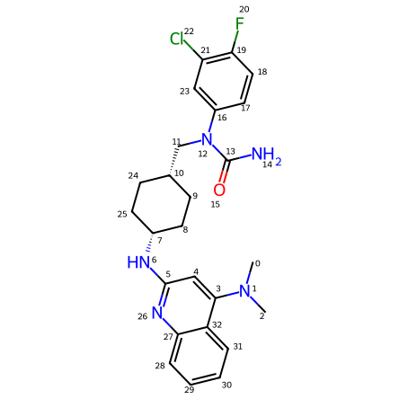 CN(C)c1cc(N[C@H]2CC[C@@H](CN(C(N)=O)c3ccc(F)c(Cl)c3)CC2)nc2ccccc12